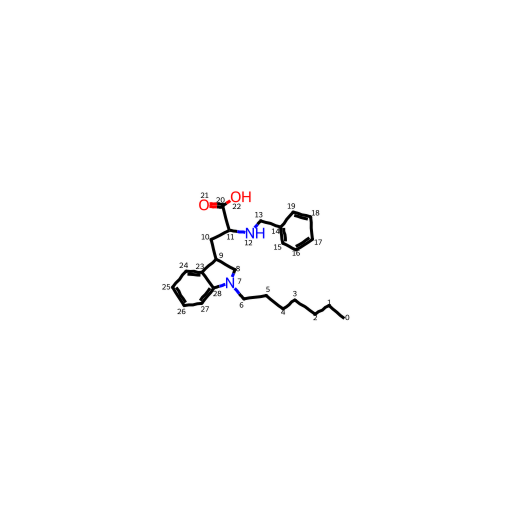 CCCCCCCN1CC(CC(NCc2ccccc2)C(=O)O)c2ccccc21